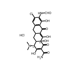 CN(C)[C@@H]1C(O)=C(C(N)=O)C(=O)[C@@]2(O)C(O)=C3C(=O)c4c(cc(Cl)c(NC=O)c4O)CC3CC12.Cl